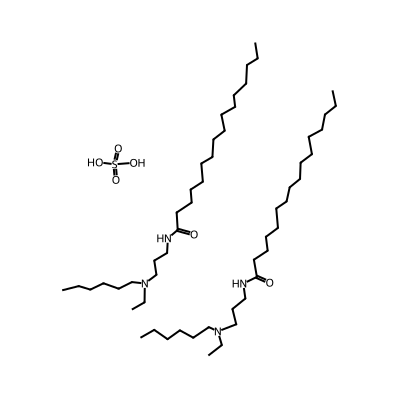 CCCCCCCCCCCCCCCC(=O)NCCCN(CC)CCCCCC.CCCCCCCCCCCCCCCC(=O)NCCCN(CC)CCCCCC.O=S(=O)(O)O